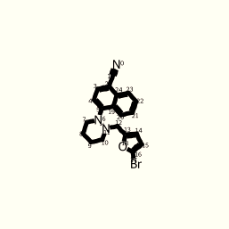 N#Cc1ccc(N2CCCCN2Cc2ccc(Br)o2)c2ccccc12